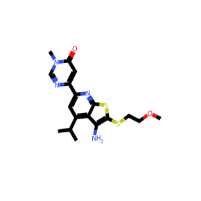 COCCSc1sc2nc(-c3cc(=O)n(C)cn3)cc(C(C)C)c2c1N